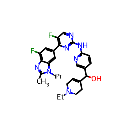 CCN1CC=C(C(O)c2ccc(Nc3ncc(F)c(-c4cc(F)c5nc(C)n(C(C)C)c5c4)n3)nc2)CC1